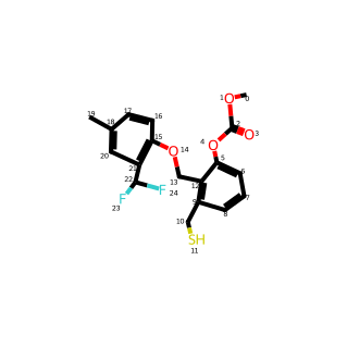 COC(=O)Oc1cccc(CS)c1COc1ccc(C)cc1C(F)F